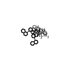 CC1=Cc2c(-c3cccc4ccccc34)ccc(C)c2[CH]1[Zr]([Cl])([Cl])([CH]1C(C(C)C)=Cc2c(-c3cccc4ccccc34)cccc21)[GeH]([CH3])[CH3]